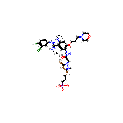 C=Nc1cc(OCCCN2CCOCC2)c(NC(=O)Cn2nc(SCCCP(=O)(O)O)sc2=S)cc1/C(=N\C)Nc1ccc(F)c(Cl)c1